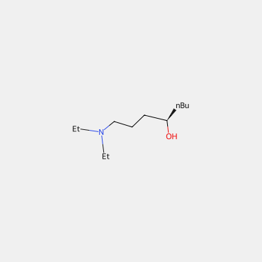 CCCC[C@@H](O)CCCN(CC)CC